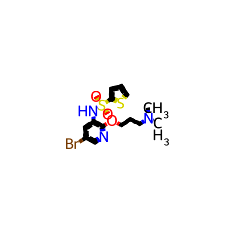 CN(C)CCCOc1ncc(Br)cc1NS(=O)(=O)c1cccs1